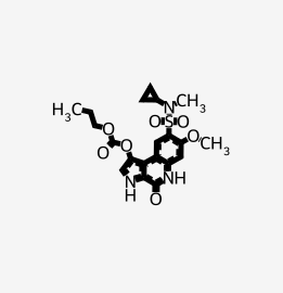 CCCOC(=O)Oc1c[nH]c2c(=O)[nH]c3cc(OC)c(S(=O)(=O)N(C)C4CC4)cc3c12